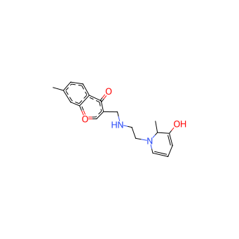 Cc1ccc2c(=O)c(CNCCN3C=CC=C(O)C3C)coc2c1